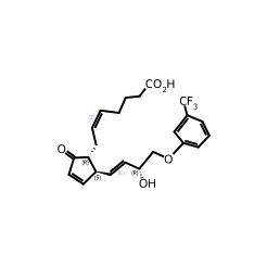 O=C(O)CCC/C=C\C[C@H]1C(=O)C=C[C@@H]1/C=C/[C@@H](O)COc1cccc(C(F)(F)F)c1